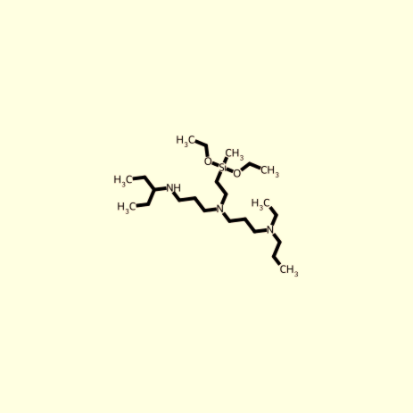 CCCN(CC)CCCN(CCCNC(CC)CC)CC[Si](C)(OCC)OCC